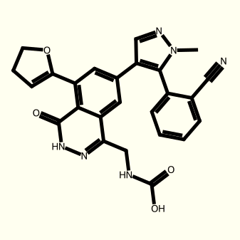 Cn1ncc(-c2cc(C3=CCCO3)c3c(=O)[nH]nc(CNC(=O)O)c3c2)c1-c1ccccc1C#N